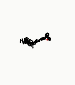 CC1=C(C)C(c2ccc(-c3ccc(-c4ccc(-c5ccc(P(c6ccccc6)c6ccccc6)cc5)cc4)c4ccccc34)cc2)NC(C)N1